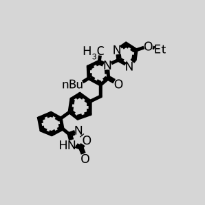 CCCCc1cc(C)n(-c2ncc(OCC)cn2)c(=O)c1Cc1ccc(-c2ccccc2-c2noc(=O)[nH]2)cc1